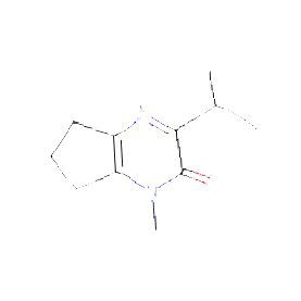 CC(C)c1nc2c(n(C)c1=O)CCC2